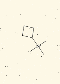 C[N+](C)(C)C1CCC1